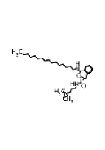 CCCCCCCCCCCCCCCCNC(=O)c1ccccc1COC(=O)NCCCN(C)C